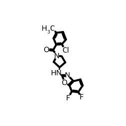 Cc1ccc(Cl)c(C(=O)N2CC[C@@H](Nc3nc4ccc(F)c(F)c4o3)C2)c1